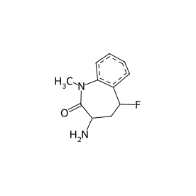 CN1C(=O)C(N)CC(F)c2ccccc21